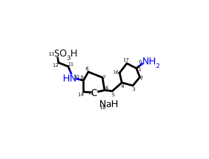 NC1CCC(CC2CCC(NCCS(=O)(=O)O)CC2)CC1.[NaH]